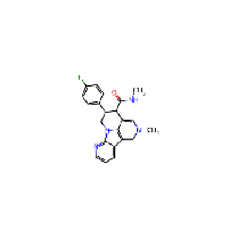 CNC(=O)C1C2=CN(C)Cc3c2n(c2ncccc32)CC1c1ccc(F)cc1